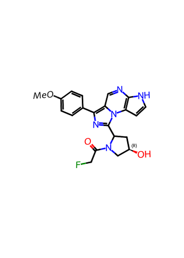 COc1ccc(-c2nc(C3C[C@@H](O)CN3C(=O)CF)n3c2cnc2[nH]ccc23)cc1